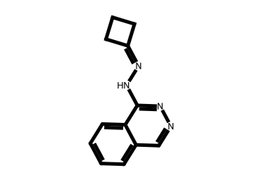 c1ccc2c(NN=C3CCC3)nncc2c1